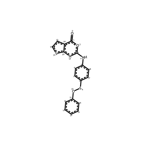 O=c1oc(Nc2ccc(SOc3ccccc3)cc2)nc2sccc12